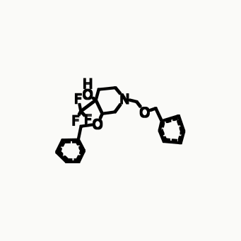 OC1(C(F)(F)F)CCN(COCc2ccccc2)CC1OCc1ccccc1